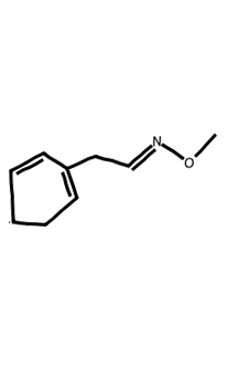 CON=CCC1=CC[CH]C=C1